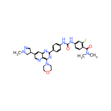 CN1CC(c2cnc3c(N4CCOCC4)nc(-c4ccc(NC(=O)Nc5ccc(C(=O)N(C)C)c(F)c5)cc4)nc3c2)C=N1